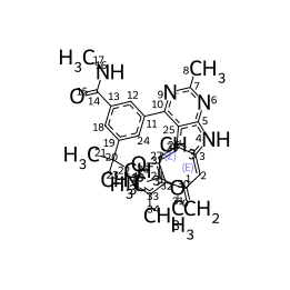 C=C(/C=c1/[nH]c2nc(C)nc(-c3cc(C(=O)NC)cc(C(C)(C)C)c3)c2/c1=C/C(C)OC)c1c(C)noc1C